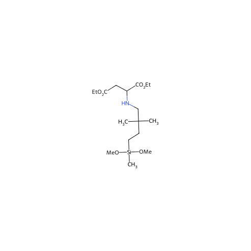 CCOC(=O)CC(NCC(C)(C)CC[Si](C)(OC)OC)C(=O)OCC